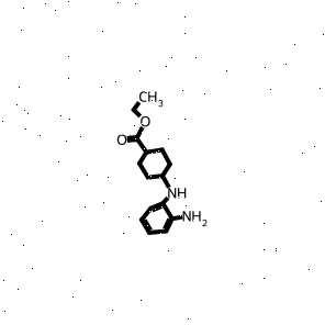 CCOC(=O)C1CCC(Nc2ccccc2N)CC1